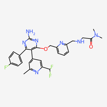 Cc1cc(-c2c(OCc3cccc(CNCC(=O)N(C)C)n3)nc(N)nc2-c2ccc(F)cc2)cc(C(F)F)n1